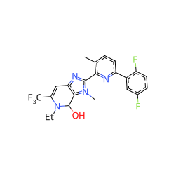 CCN1C(C(F)(F)F)=Cc2nc(-c3nc(-c4cc(F)ccc4F)ccc3C)n(C)c2C1O